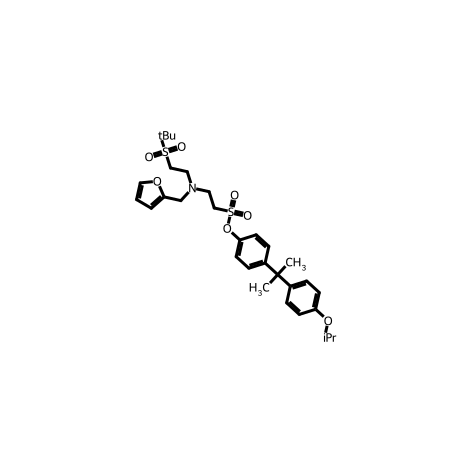 CC(C)Oc1ccc(C(C)(C)c2ccc(OS(=O)(=O)CCN(CCS(=O)(=O)C(C)(C)C)Cc3ccco3)cc2)cc1